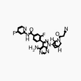 N#CCC(=O)N1C[C@@H]2C[C@@H]1[C@@H](n1nc(-c3ccc(C(=O)Nc4cc(F)ccn4)cc3F)c3c(N)ncnc31)C2